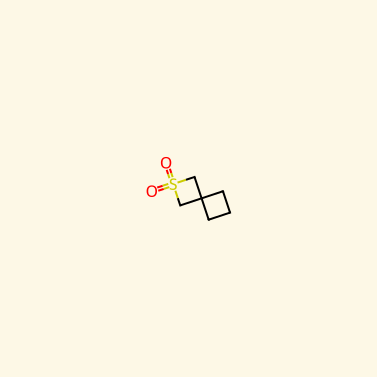 O=S1(=O)CC2(CCC2)C1